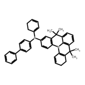 CC1(C)C2=C(C=CCC2)N2c3ccc(N(C4=CC=CCC4)c4ccc(-c5ccccc5)cc4)cc3C(C)(C)c3cccc1c32